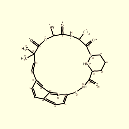 CC1NC(=O)C(C(C)C)OC(=O)C(C)(C)/C=C/c2ccc3ccc(nc3c2)CNC(=O)C2CCCN(N2)C1=O